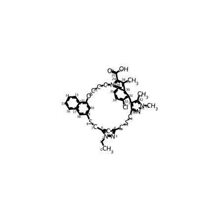 CCn1nc2cc1CSc1cc(c3ccccc3c1)OCCCn1c(C(=O)O)c(C)c3c(c(Cl)ccc31)-c1c(nn(C)c1C)CSC2